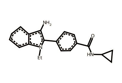 CCn1c(-c2ccc(C(=O)NC3CC3)cc2)c(N)c2ccccc21